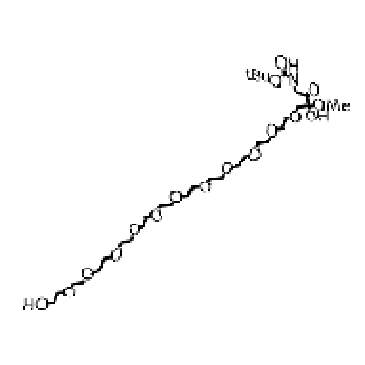 COC(O)(COCCOCCOCCOCCOCCOCCOCCOCCOCCOCCOCCO)C(=O)CNC(=O)OC(C)(C)C